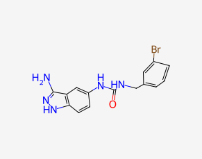 Nc1n[nH]c2ccc(NC(=O)NCc3cccc(Br)c3)cc12